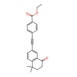 CCOC(=O)c1ccc(C#Cc2ccc3c(c2)C(=O)CCC3(C)C)cc1